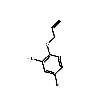 C=CCOc1ncc(Br)cc1N